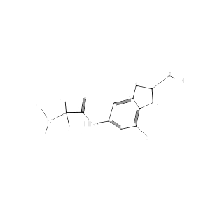 CN(C)C(C)(C)C(=O)Nc1cc(F)c2c(c1)CC(CO)C2